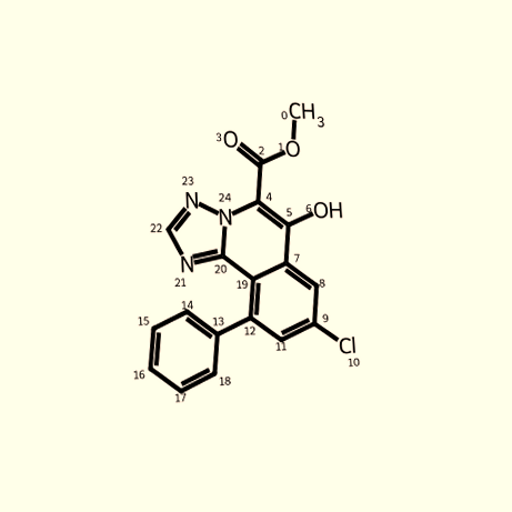 COC(=O)c1c(O)c2cc(Cl)cc(-c3ccccc3)c2c2ncnn12